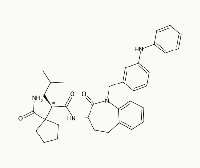 CC(C)C[C@@H](C(=O)NC1CCc2ccccc2N(Cc2cccc(Nc3ccccc3)c2)C1=O)C1(C(N)=O)CCCC1